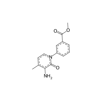 COC(=O)c1cccc(-n2ccc(C)c(N)c2=O)c1